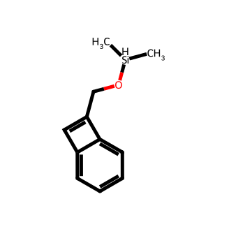 C[SiH](C)OCC1=Cc2ccccc21